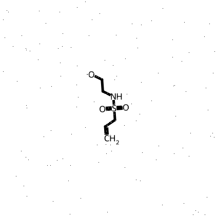 C=CCS(=O)(=O)NCC[O]